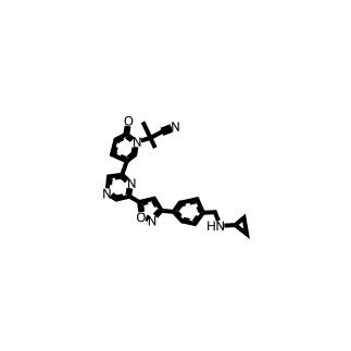 CC(C)(C#N)n1cc(-c2cncc(-c3cc(-c4ccc(CNC5CC5)cc4)no3)n2)ccc1=O